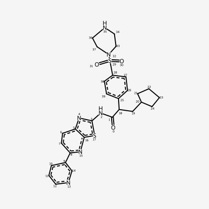 O=C(Nc1nc2ccc(-c3cccnc3)nc2s1)C(CC1CCCC1)c1ccc(S(=O)(=O)N2CCNCC2)cc1